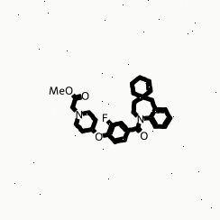 COC(=O)CN1CCC(Oc2ccc(C(=O)N3CCC4(C=CCCC4)Cc4ccccc43)cc2F)CC1